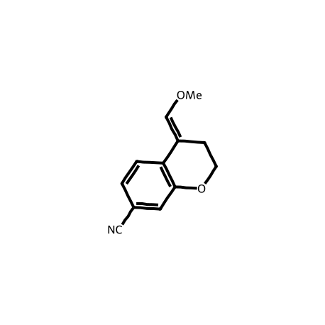 CO/C=C1\CCOc2cc(C#N)ccc21